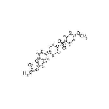 COc1ccc(S(=O)(=O)N2CCN(c3ccc4oc(OC(N)=O)cc4c3)CC2)cc1